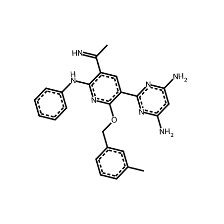 CC(=N)c1cc(-c2nc(N)cc(N)n2)c(OCc2cccc(C)c2)nc1Nc1ccccc1